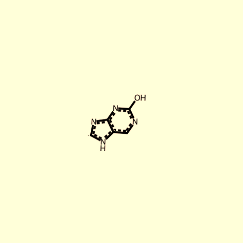 Oc1ncc2[nH][c]nc2n1